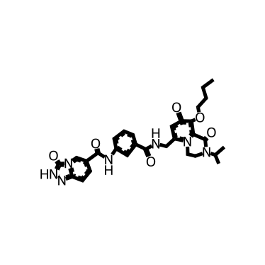 CCCCOc1c2n(c(CNC(=O)c3cccc(NC(=O)c4ccc5n[nH]c(=O)n5c4)c3)cc1=O)CCN(C(C)C)C2=O